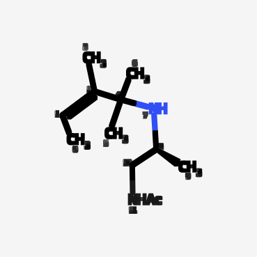 C/C=C(/C)C(C)(C)N[C@@H](C)CNC(C)=O